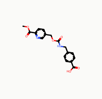 COC(=O)c1ccc(COC(=O)NCc2ccc(C(=O)O)cc2)cn1